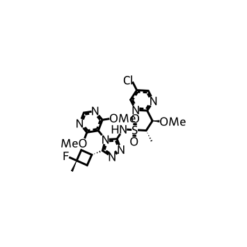 COc1ncnc(OC)c1-n1c(NS(=O)(=O)[C@@H](C)[C@H](OC)c2ncc(Cl)cn2)nnc1[C@H]1C[C@@](C)(F)C1